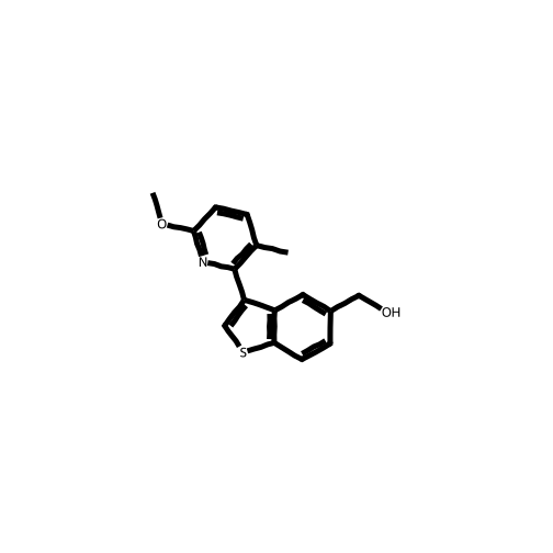 COc1ccc(C)c(-c2csc3ccc(CO)cc23)n1